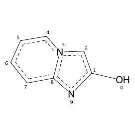 Oc1cn2ccccc2n1